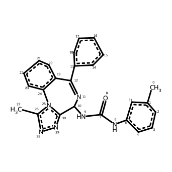 Cc1cccc(NC(=O)NC2N=C(c3ccccc3)c3ccccc3-n3c(C)nnc32)c1